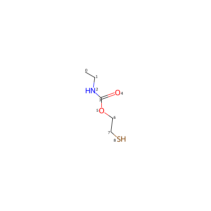 CCNC(=O)OCCS